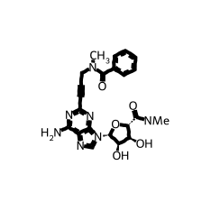 CNC(=O)[C@H]1O[C@@H](n2cnc3c(N)nc(C#CCN(C)C(=O)c4ccccc4)nc32)[C@H](O)[C@@H]1O